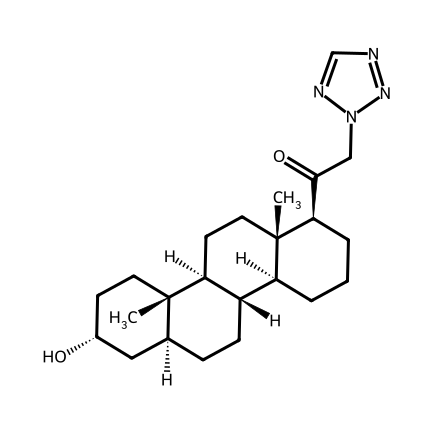 C[C@]12CC[C@@H](O)C[C@@H]1CC[C@@H]1[C@@H]2CC[C@]2(C)[C@@H](C(=O)Cn3ncnn3)CCC[C@@H]12